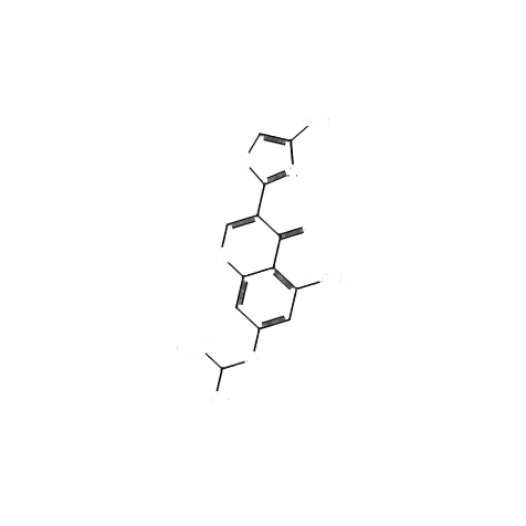 Cc1csc(-c2coc3cc(OC(C)C)cc(C)c3c2=O)n1